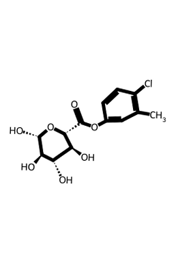 Cc1cc(OC(=O)[C@H]2O[C@@H](O)[C@H](O)[C@@H](O)[C@@H]2O)ccc1Cl